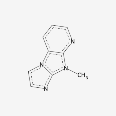 Cn1c2ncccc2n2ccnc12